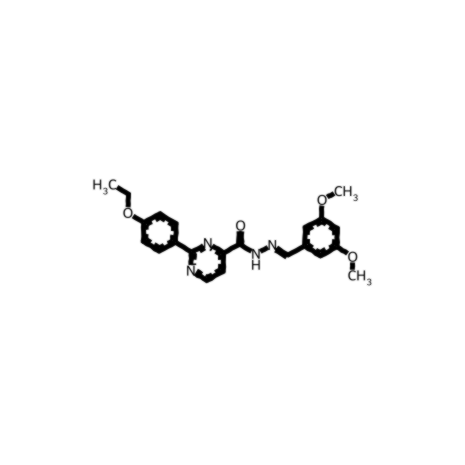 CCOc1ccc(-c2nccc(C(=O)NN=Cc3cc(OC)cc(OC)c3)n2)cc1